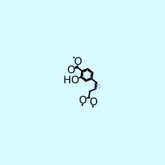 COC(=O)c1ccc(/C=C\CC(OC)OC)cc1O